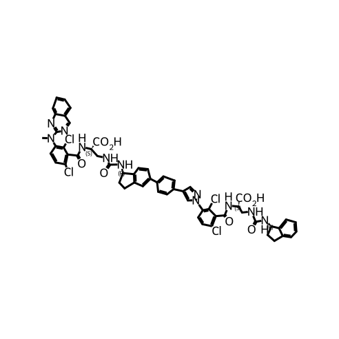 CN(c1ncc2ccccc2n1)c1ccc(Cl)c(C(=O)N[C@@H](CNC(=O)N[C@@H]2CCc3cc(-c4ccc(-c5cnn(-c6ccc(Cl)c(C(=O)N[C@@H](CNC(=O)N[C@@H]7CCc8ccccc87)C(=O)O)c6Cl)c5)cc4)ccc32)C(=O)O)c1Cl